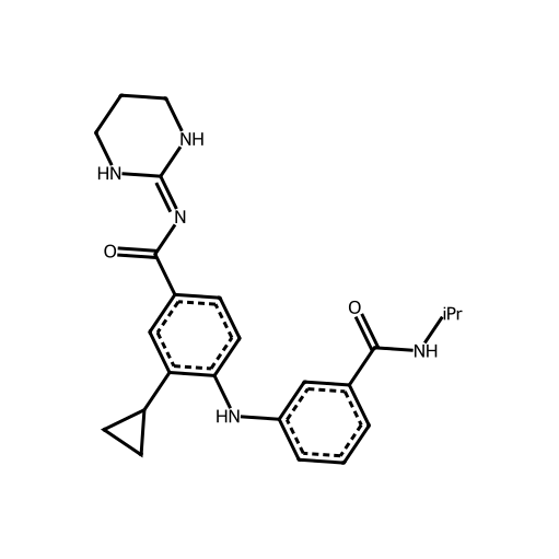 CC(C)NC(=O)c1cccc(Nc2ccc(C(=O)N=C3NCCCN3)cc2C2CC2)c1